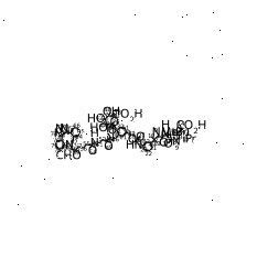 CN[C@H](C(=O)N[C@H](C(=O)N(C)[C@H](/C=C(\C)C(=O)O)C(C)C)C(C)(C)C)C(C)(C)c1cccc(NC(=O)OCc2ccc(O[C@@H]3O[C@H](C(=O)O)[C@@H](O)[C@H](O)[C@H]3O)c(CNC(=O)CCNC(=O)CCCC(C=O)CN3Cc4ccccc4-c4nnn(C)c4-c4ccccc43)c2)c1